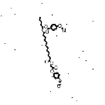 CCCCCC[C@H](CCCCCCCCCCC(=O)OCC(=O)Oc1ccc(N=C=O)cc1)OC(=O)c1ccc(OC#N)cc1